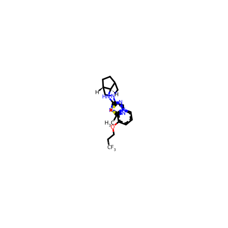 Cc1ncc(N2CC3CC[C@@H](C2)[C@@H]3Nc2nc3c(OCCC(F)(F)F)cccn3n2)s1